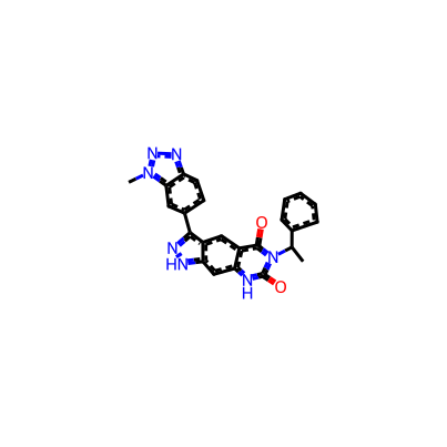 CC(c1ccccc1)n1c(=O)[nH]c2cc3[nH]nc(-c4ccc5nnn(C)c5c4)c3cc2c1=O